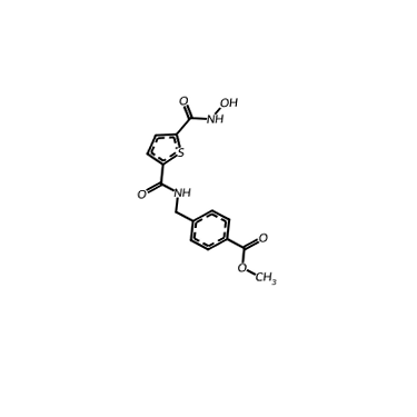 COC(=O)c1ccc(CNC(=O)c2ccc(C(=O)NO)s2)cc1